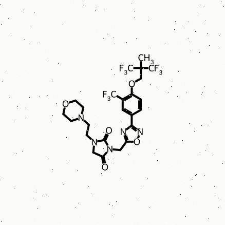 CC(COc1ccc(-c2noc(CN3C(=O)CN(CCN4CCOCC4)C3=O)n2)cc1C(F)(F)F)(C(F)(F)F)C(F)(F)F